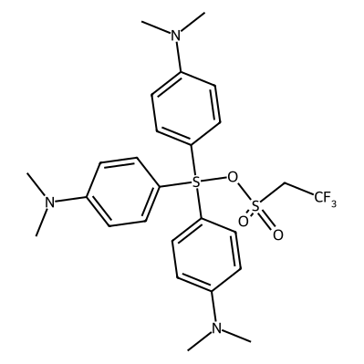 CN(C)c1ccc(S(OS(=O)(=O)CC(F)(F)F)(c2ccc(N(C)C)cc2)c2ccc(N(C)C)cc2)cc1